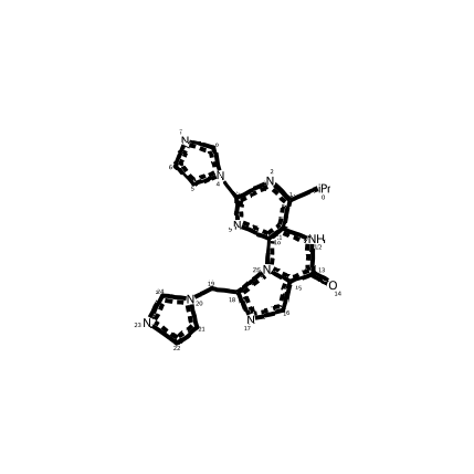 CC(C)c1nc(-n2ccnc2)nc2c1[nH]c(=O)c1cnc(Cn3ccnc3)n12